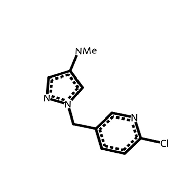 CNc1cnn(Cc2ccc(Cl)nc2)c1